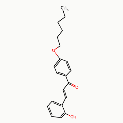 CCCCCCOc1ccc(C(=O)/C=C/c2ccccc2O)cc1